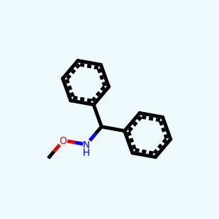 CONC(c1ccccc1)c1ccccc1